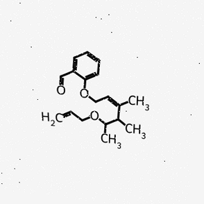 C=CCOC(C)C(C)C(C)=CCOc1ccccc1C=O